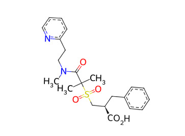 CN(CCc1ccccn1)C(=O)C(C)(C)S(=O)(=O)C[C@@H](Cc1ccccc1)C(=O)O